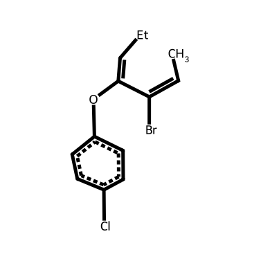 C/C=C(Br)\C(=C/CC)Oc1ccc(Cl)cc1